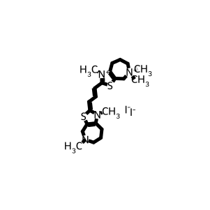 CN1CCCC2=C(C1)SC(=CC=Cc1sc3c([n+]1C)CCC[N+](C)(C)C3)N2C.[I-].[I-]